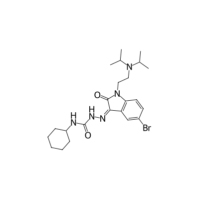 CC(C)N(CCN1C(=O)C(=NNC(=O)NC2CCCCC2)c2cc(Br)ccc21)C(C)C